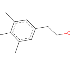 Cc1cc(CC[O])cc(C)c1C